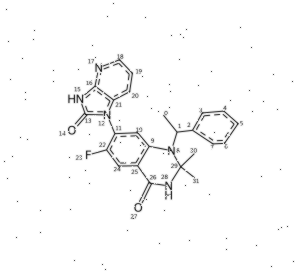 CC(c1ccccc1)N1c2cc(-n3c(=O)[nH]c4ncccc43)c(F)cc2C(=O)NC1(C)C